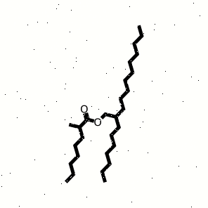 CCCCCCCCCCC(CCCCCCC)COC(=O)C(C)CCCCCC